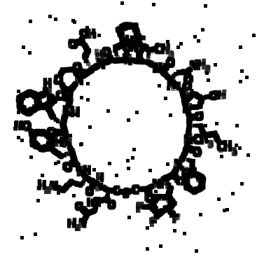 CCCC[C@H]1C(=O)N2C[C@H](O)C[C@@H]2C(=O)N[C@@H](CC(N)=O)C(=O)N[C@@H](C(C)C)C(=O)N(C)[C@@H](Cc2ccccc2)C(=O)N[C@@H](CCC(=O)O)C(=O)N2CCOC[C@@H]2C(=O)N[C@@H](Cc2c[nH]c3ccccc23)C(=O)N[C@@H](Cc2ccc(O)cc2)C(=O)N[C@@H](CCCN)C(=O)N[C@H](C(=O)NCC(N)=O)CSCC(=O)N[C@@H](Cc2cc(F)c(F)c(F)c2)C(=O)N(C)[C@@H](Cc2ccccc2)C(=O)N1C